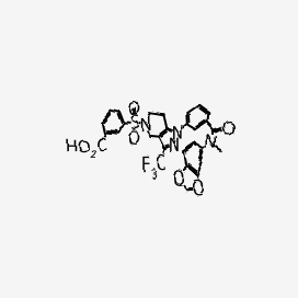 CN(C(=O)c1cccc(-n2nc(C(F)(F)F)c3c2CCN(S(=O)(=O)c2cccc(C(=O)O)c2)C3)c1)c1ccc2c(c1)OCO2